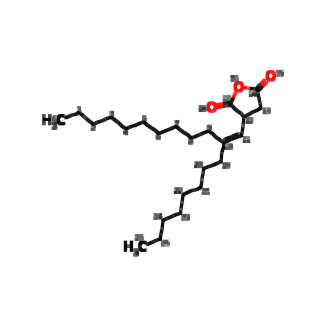 CCCCCCCCCCC(=CC1CC(=O)OC1=O)CCCCCCCC